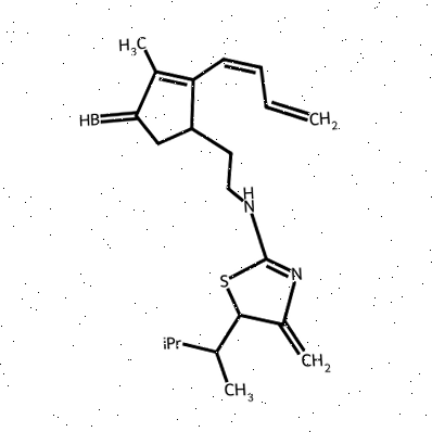 B=C1CC(CCNC2=NC(=C)C(C(C)C(C)C)S2)C(/C=C\C=C)=C1C